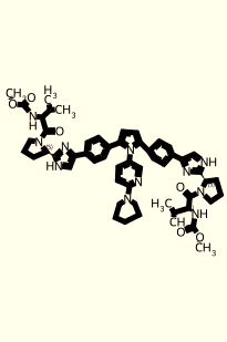 COC(=O)NC(C(=O)N1CCC[C@H]1c1nc(-c2ccc(-c3ccc(-c4ccc(-c5c[nH]c([C@@H]6CCCN6C(=O)[C@@H](NC(=O)OC)C(C)C)n5)cc4)n3-c3ccc(N4CCCCC4)nc3)cc2)c[nH]1)C(C)C